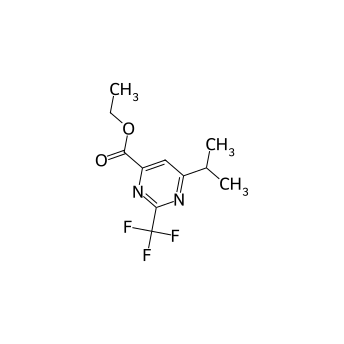 CCOC(=O)c1cc(C(C)C)nc(C(F)(F)F)n1